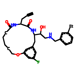 C#CCC1NC(=O)CCCCCOc2cc(F)cc(c2)CC(C(O)CNCc2cccc(CC)c2)NC1=O